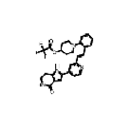 O=C1NCCc2[nH]c(-c3ccnc(C=Cc4ccccc4N4CCC(OC(=O)C(F)(F)F)CC4)c3)cc21